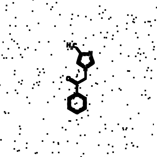 Cc1cn(CC(=O)c2ccccc2)cn1